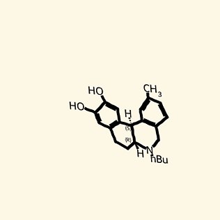 CCCCN1Cc2ccc(C)cc2[C@@H]2c3cc(O)c(O)cc3CC[C@H]21